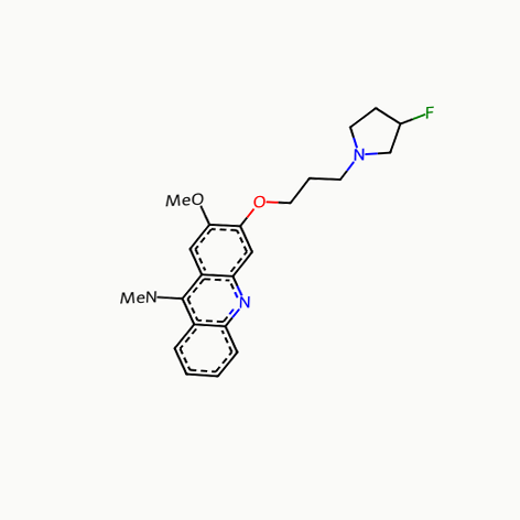 CNc1c2ccccc2nc2cc(OCCCN3CCC(F)C3)c(OC)cc12